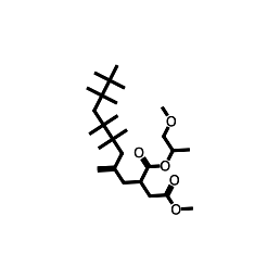 C=C(CC(CC(=O)OC)C(=O)OC(C)COC)CC(C)(C)C(C)(C)CC(C)(C)C(C)(C)C